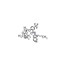 CCCCn1/c(=N/C(=O)c2cc(C(F)(F)F)ccc2OC[C@H](C)OC(=O)C(C)(C)N)sc2ccncc21